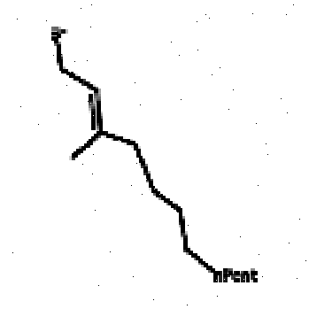 CCCCCCCCC/C(C)=C/CBr